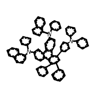 c1ccc(-c2cc(-c3ccc(N(c4ccccc4)c4ccccc4)cc3)c3c4ccc(N(c5ccccc5)c5cccc6ccccc56)cc4c4cc(N(c5ccccc5)c5cccc6ccccc56)ccc4c3c2-c2ccccc2)cc1